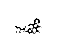 CCC[C@H](N)C(=O)NC1CCN(c2c(C(=O)O)c(=O)n3ccccc3c2CC)C1